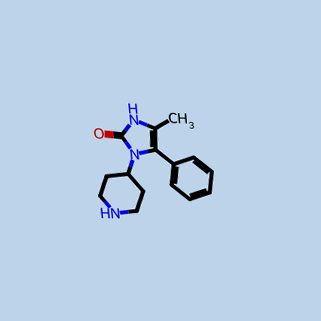 Cc1[nH]c(=O)n(C2CCNCC2)c1-c1ccccc1